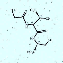 C[C@@H](O)[C@H](NC(=O)CN)C(=O)N[C@@H](CS)C(=O)O